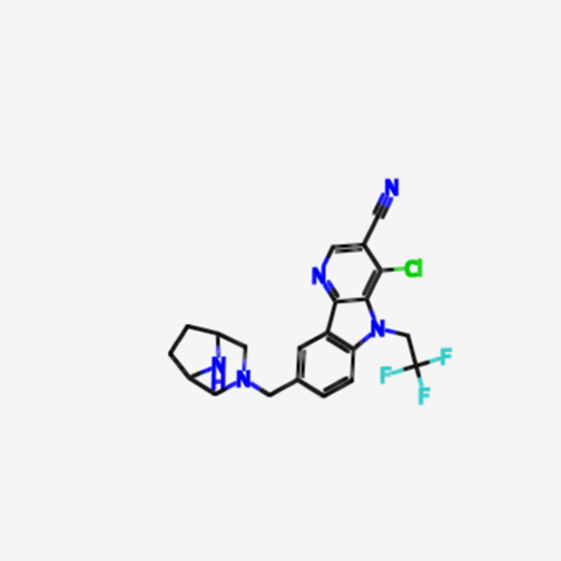 N#Cc1cnc2c3cc(CN4CC5CCC(C4)N5)ccc3n(CC(F)(F)F)c2c1Cl